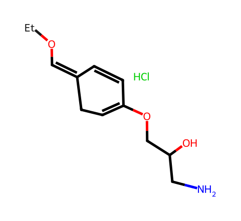 CCOC=C1C=CC(OCC(O)CN)=CC1.Cl